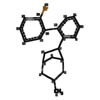 CC1CC2CC(C1)C(c1ccccc1-c1ccccc1Br)C2